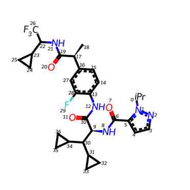 CC(C)n1nccc1C(=O)N[C@H](C(=O)Nc1ccc([C@H](C)C(=O)NC(C2CC2)C(F)(F)F)cc1F)C(C1CC1)C1CC1